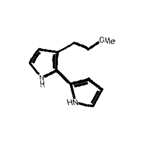 COCCc1cc[nH]c1-c1ccc[nH]1